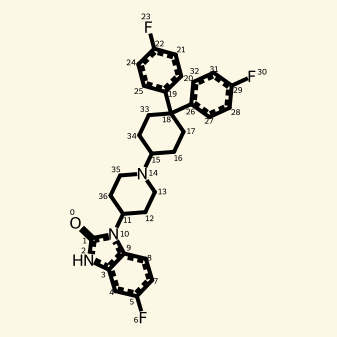 O=c1[nH]c2cc(F)ccc2n1C1CCN(C2CCC(c3ccc(F)cc3)(c3ccc(F)cc3)CC2)CC1